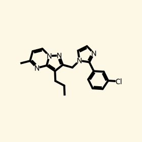 CCCc1c(Cn2ccnc2-c2cccc(Cl)c2)nn2ccc(C)nc12